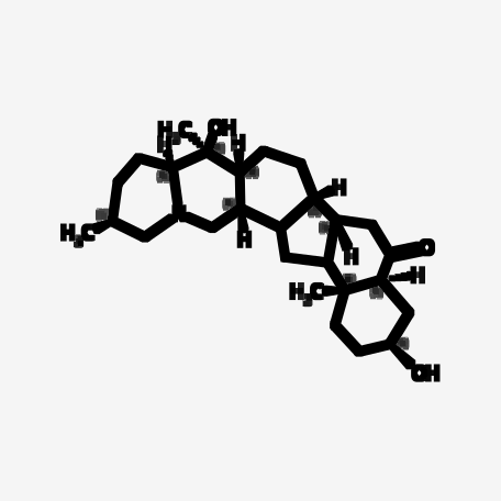 C[C@H]1CC[C@@H]2N(C1)C[C@H]1C3CC4[C@@H](CC(=O)[C@H]5C[C@@H](O)CC[C@]45C)[C@H]3CC[C@H]1[C@]2(C)O